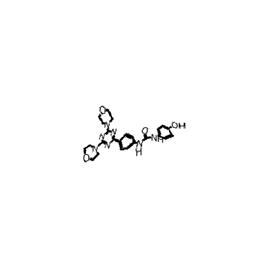 O=C(Nc1ccc(O)cc1)Nc1ccc(-c2nc(N3CCOCC3)nc(N3CCOCC3)n2)cc1